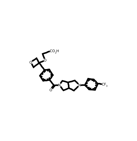 O=C(O)COC1(c2ccc(C(=O)N3CC4CN(c5ccc(C(F)(F)F)cc5)CC4C3)cc2)COC1